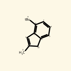 CC1=Cc2c(cccc2C(C)(C)C)[CH]1